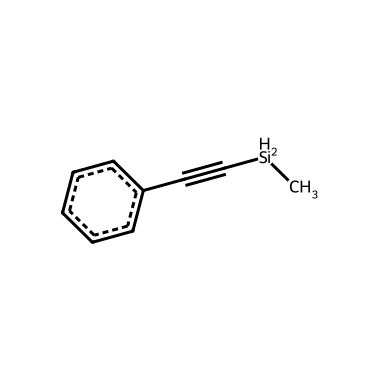 C[SiH2]C#Cc1ccccc1